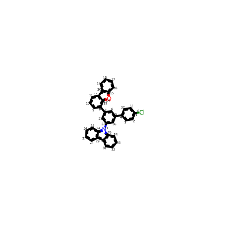 Clc1ccc(-c2cc(-c3cccc4c3oc3ccccc34)cc(-n3c4ccccc4c4ccccc43)c2)cc1